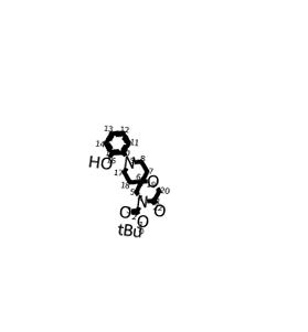 CC(C)(C)OC(=O)N1CC2(CCN(c3ccccc3O)CC2)OCC1=O